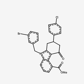 COC(=O)c1cccc2c1c1c(n2Cc2cccc(Br)c2)CC(c2ccc(Cl)cc2)CC1=O